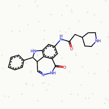 O=C(CC1CCNCC1)Nc1cc2c3c(c1)C(=O)NN=CC3C(c1ccccc1)N2